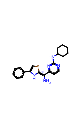 N/C(=C1\NC(c2ccccc2)=CS1)c1ccnc(NC2CCCCC2)n1